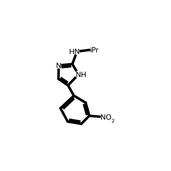 CC(C)Nc1ncc(-c2cccc([N+](=O)[O-])c2)[nH]1